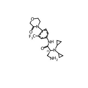 NC[C@@H](C(=O)Nc1ccc(N2CCOCC2=O)c(C(F)(F)F)c1)N(C1CC1)C1CC1